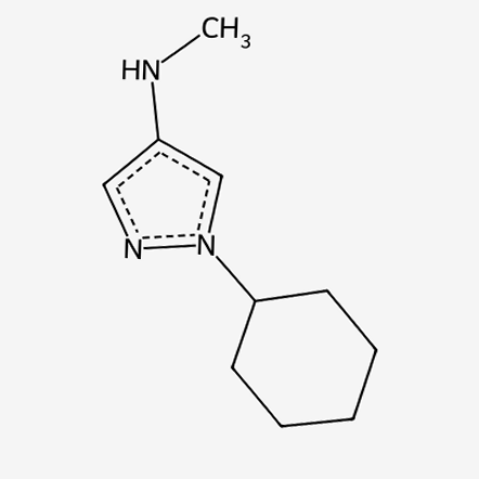 CNc1cnn(C2CCCCC2)c1